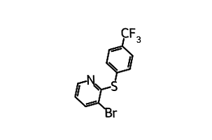 FC(F)(F)c1ccc(Sc2ncccc2Br)cc1